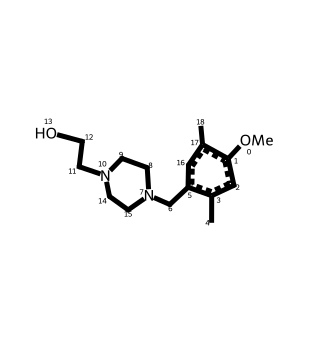 COc1cc(C)c(CN2CCN(CCO)CC2)cc1C